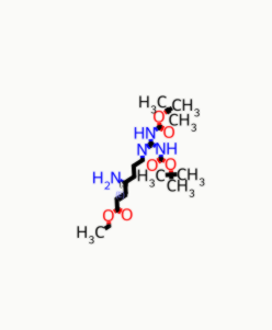 CCOC(=O)/C=C/[C@@H](N)CCCN=C(NC(=O)OC(C)(C)C)NC(=O)OC(C)(C)C